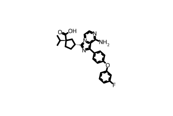 CC(C)[C@]1(C(=O)O)CC[C@@H](c2nc(-c3ccc(Oc4cccc(F)c4)cc3)c3c(N)nccn23)C1